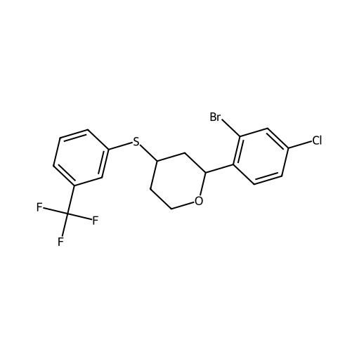 FC(F)(F)c1cccc(SC2CCOC(c3ccc(Cl)cc3Br)C2)c1